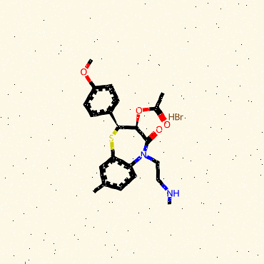 Br.CNCCN1C(=O)[C@H](OC(C)=O)[C@H](c2ccc(OC)cc2)Sc2cc(C)ccc21